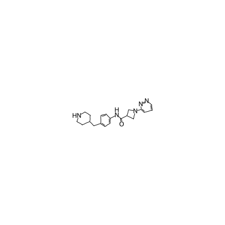 O=C(Nc1ccc(CC2CCNCC2)cc1)C1CN(c2cccnn2)C1